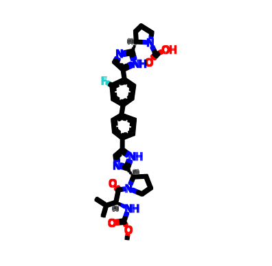 COC(=O)N[C@H](C(=O)N1CCC[C@H]1c1ncc(-c2ccc(-c3ccc(-c4cnc([C@@H]5CCCN5C(=O)O)[nH]4)c(F)c3)cc2)[nH]1)C(C)C